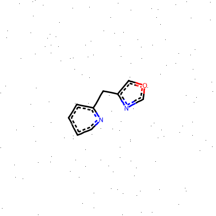 c1ccc(Cc2cocn2)nc1